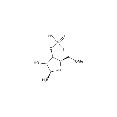 B[C@@H]1O[C@H](COC)C(OP(=S)(S)I)C1O